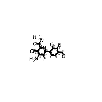 COC(=O)c1nc(-c2ccc(C=O)c(F)c2F)c(F)c(N)c1Cl